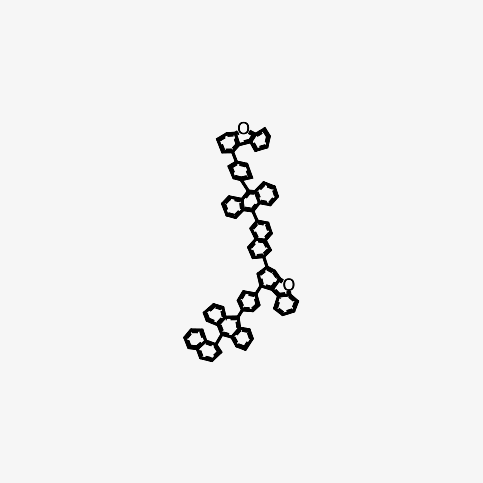 c1ccc2c(-c3c4ccccc4c(-c4ccc(-c5cc(-c6ccc7cc(-c8c9ccccc9c(-c9ccc(-c%10cccc%11oc%12ccccc%12c%10%11)cc9)c9ccccc89)ccc7c6)cc6oc7ccccc7c56)cc4)c4ccccc34)cccc2c1